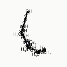 C=CN(C)/C(=C\NC(=O)c1nc(NC(=O)CCNC(=O)c2cc(NC(=O)c3nccn3C)cn2C)cn1C)C(=O)NCCC(=O)Nc1cn(C)c(C(=O)NCCC(=O)NCCOCCOCCOCCC(=O)O)n1